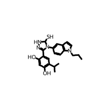 CCCn1ccc2cc(N3C(c4cc(C(C)C)c(O)cc4O)=NNC3S)ccc21